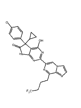 O=C1Nc2nc(-c3cn4ccnc4c(CCCC(F)(F)F)n3)nc(O)c2C1(c1ccc(Cl)cc1)C1CC1